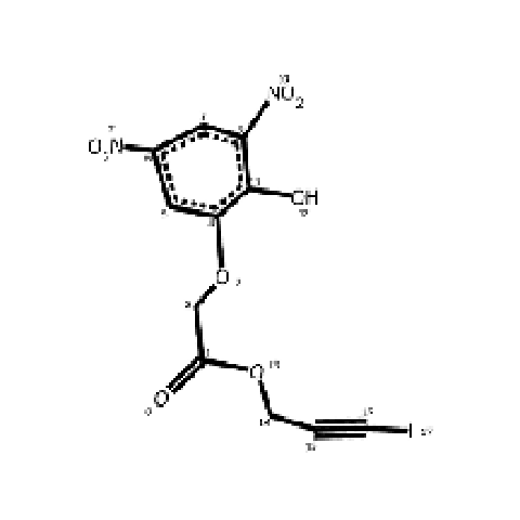 O=C(COc1cc([N+](=O)[O-])cc([N+](=O)[O-])c1O)OCC#CI